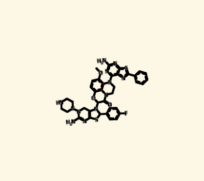 COc1ccc(OC(C(=O)N2CCN(c3nc(N)nc4sc(-c5ccccc5)nc34)CC2)N2C3=C(N=C(N)N(N4CCNCC4)C3)SC2c2ccc(F)cc2)cc1